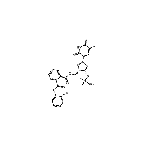 Cc1cn([C@H]2C[C@H](O[Si](C)(C)C(C)(C)C)[C@@H](COC(=O)c3ccccc3C(=O)Oc3ccccc3C#N)O2)c(=O)[nH]c1=O